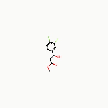 COC(=O)CC(O)c1ccc(F)c(F)c1